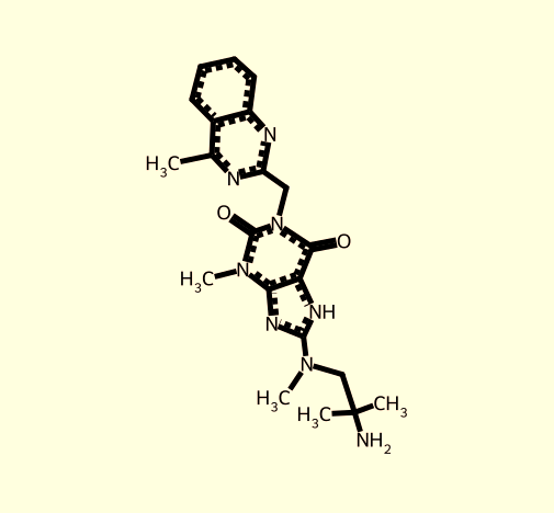 Cc1nc(Cn2c(=O)c3[nH]c(N(C)CC(C)(C)N)nc3n(C)c2=O)nc2ccccc12